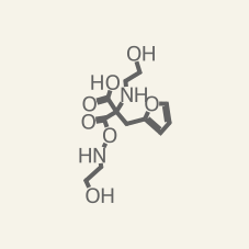 O=C(O)C(Cc1ccco1)(NCCO)C(=O)ONCCO